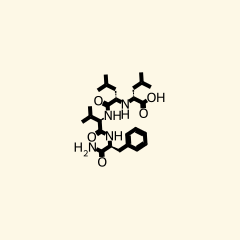 CC(C)C[C@H](N[C@H](CC(C)C)C(=O)O)C(=O)N[C@H](C(=O)N[C@@H](Cc1ccccc1)C(N)=O)C(C)C